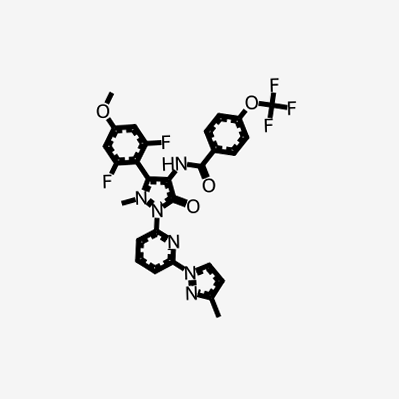 COc1cc(F)c(-c2c(NC(=O)c3ccc(OC(F)(F)F)cc3)c(=O)n(-c3cccc(-n4ccc(C)n4)n3)n2C)c(F)c1